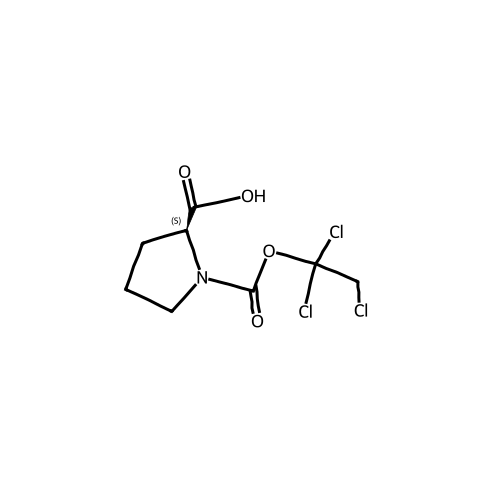 O=C(O)[C@@H]1CCCN1C(=O)OC(Cl)(Cl)CCl